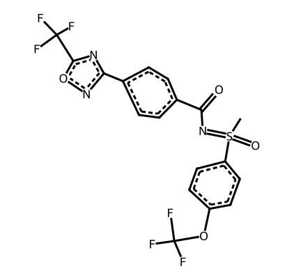 CS(=O)(=NC(=O)c1ccc(-c2noc(C(F)(F)F)n2)cc1)c1ccc(OC(F)(F)F)cc1